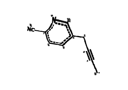 [CH2]C#CCc1ccc(C#N)nc1